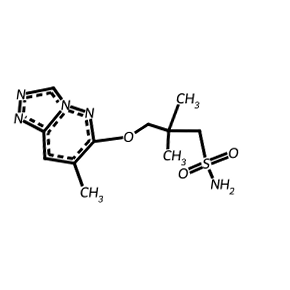 Cc1cc2nncn2nc1OCC(C)(C)CS(N)(=O)=O